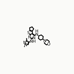 Cc1nn(C)cc1Nc1nc(N[C@H]2CC[C@H](N3CCOCC3)CC2)c2c3c(sc2n1)CCC3